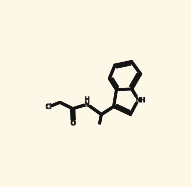 CC(NC(=O)CCl)c1c[nH]c2ccccc12